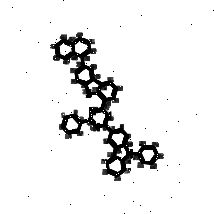 c1ccc(-c2nc(-c3ccc4c(c3)c3ccccc3n4-c3ccccc3)nc(-c3cccc4c3sc3ccc(-c5cccc6ccccc56)cc34)n2)cc1